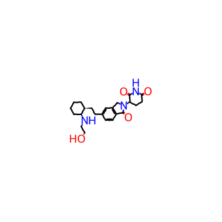 O=C1CCC(N2Cc3cc(CC[C@@H]4CCCC[C@@H]4NCCO)ccc3C2=O)C(=O)N1